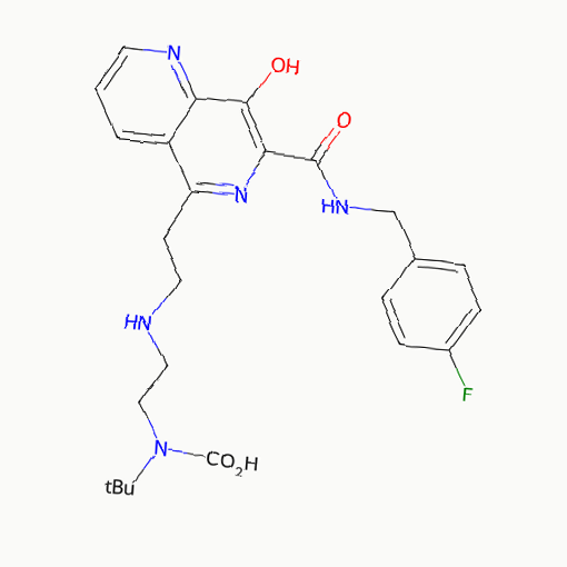 CC(C)(C)N(CCNCCc1nc(C(=O)NCc2ccc(F)cc2)c(O)c2ncccc12)C(=O)O